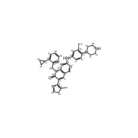 CC1=C(c2cc3cnc(Nc4ccc(N5CCNCC5)c(F)c4)nc3n(Cc3ncccc3C3CC3)c2=O)N=CC1